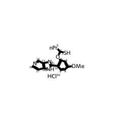 CCCC(S)Oc1cc(OC)ccc1-c1nc2cnccc2[nH]1.Cl